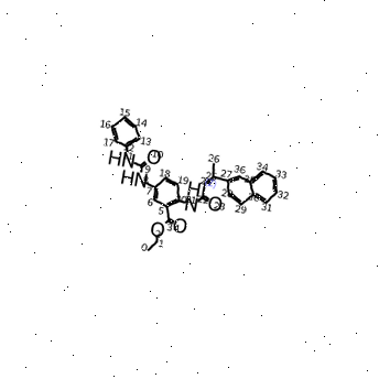 CCOC(=O)c1cc(NC(=O)Nc2ccccc2)ccc1NC(=O)/C=C(/C)c1ccc2ccccc2c1